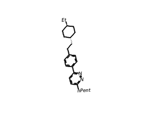 CCCCCc1ccc(-c2ccc(CC[C@H]3CC[C@H](CC)CC3)cc2)nn1